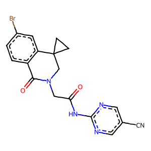 N#Cc1cnc(NC(=O)CN2CC3(CC3)c3cc(Br)ccc3C2=O)nc1